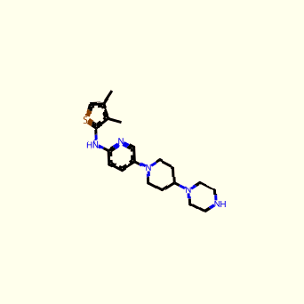 Cc1csc(Nc2ccc(N3CCC(N4CCNCC4)CC3)cn2)c1C